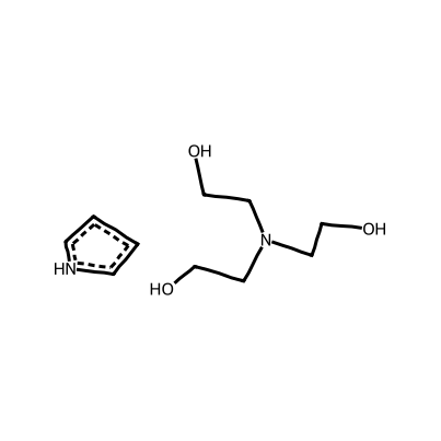 OCCN(CCO)CCO.c1cc[nH]c1